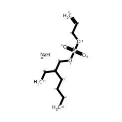 C=CCOS(=O)(=O)OCC(CC)CCCC.[NaH]